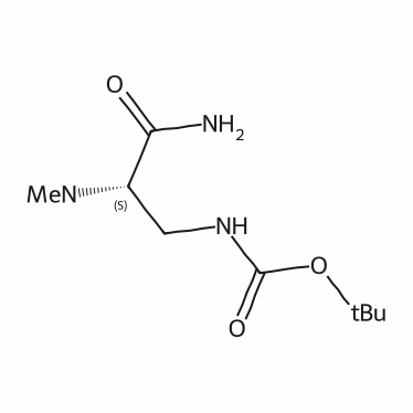 CN[C@@H](CNC(=O)OC(C)(C)C)C(N)=O